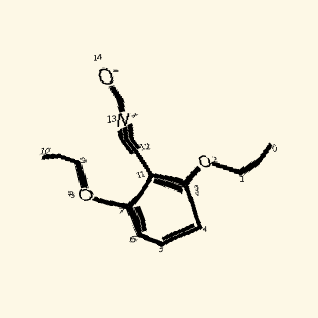 CCOc1cccc(OCC)c1C#[N+][O-]